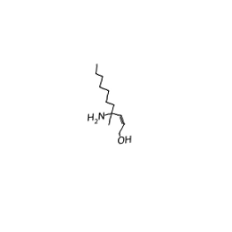 CCCCCCCC(C)(N)/C=C\CO